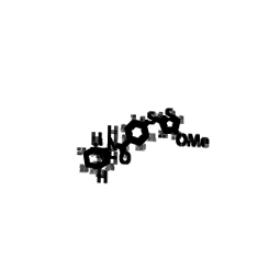 COc1csc(Sc2ccc(C(=O)N[C@@H]3C[C@H]4CC[C@@H]3N4)cc2)c1